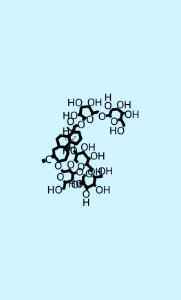 C=C=C1CC2CC[C@H]3[C@@](C)(CCC[C@@]3(C)C(=O)OC3OC(COC4OC(CO)C(O)C(O)C4O)C(O)C(O)C3O)[C@@H]2CCC1OC1OC(CO)C(O)C(OC2OC(CO)C(O)C(O)C2O)C1OC1OC(CO)C(O)C(O)C1O